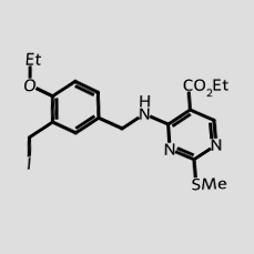 CCOC(=O)c1cnc(SC)nc1NCc1ccc(OCC)c(CI)c1